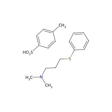 CN(C)CCCSc1ccccc1.Cc1ccc(S(=O)(=O)O)cc1